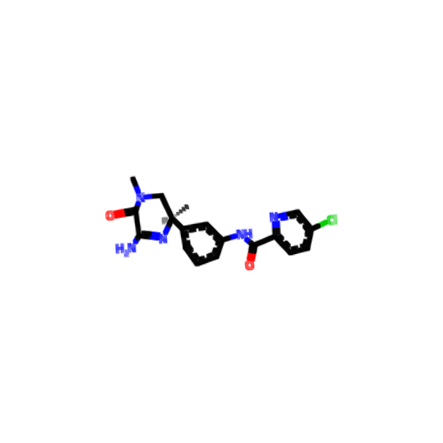 CN1C[C@@](C)(c2cccc(NC(=O)c3ccc(Cl)cn3)c2)N=C(N)C1=O